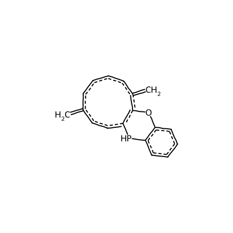 C=c1ccccc(=C)c2c(cc1)Pc1ccccc1O2